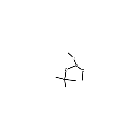 CO[Si](OC)OC(C)(C)C